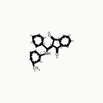 Cc1cccc(NC(=C2C(=O)c3ccccc3C2=O)c2ccccc2)c1